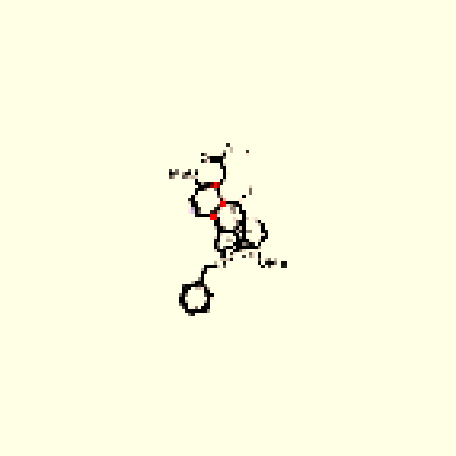 C=C(/C=C\C1=C2CO[C@H]3[C@@]4(OC)CC[C@@]5(C[C@@H]4COCc4ccccc4)[C@@H](C1)N(CCC(N)=O)CC[C@]235)OC